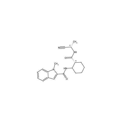 C[C@@H](C#N)NC(=O)[C@@H]1CCCCC1NC(=O)c1cc2ccccc2n1C